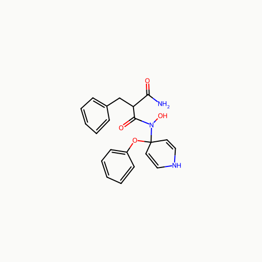 NC(=O)C(Cc1ccccc1)C(=O)N(O)C1(Oc2ccccc2)C=CNC=C1